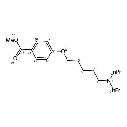 CCCN(CCC)CCCCCOc1ccc(C(=O)OC)cc1